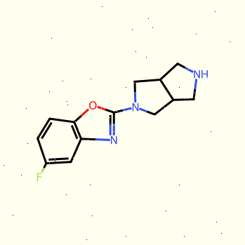 Fc1ccc2oc(N3CC4CNCC4C3)nc2c1